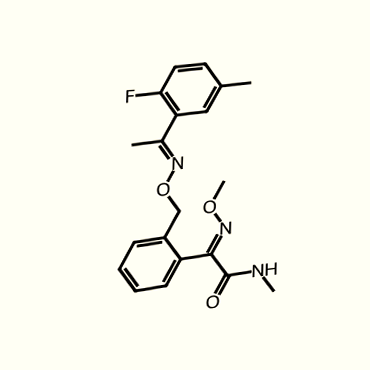 CNC(=O)/C(=N/OC)c1ccccc1CO/N=C(\C)c1cc(C)ccc1F